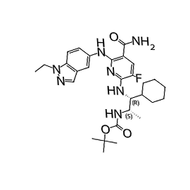 CCn1ncc2cc(Nc3nc(N[C@H](C4CCCCC4)[C@H](C)NC(=O)OC(C)(C)C)c(F)cc3C(N)=O)ccc21